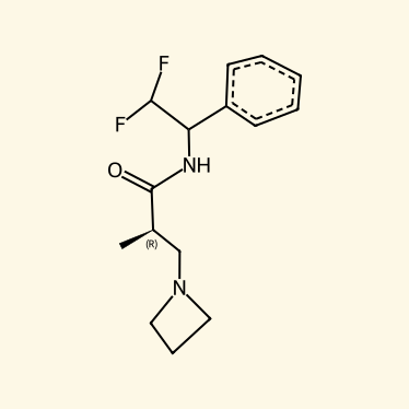 C[C@H](CN1CCC1)C(=O)NC(c1ccccc1)C(F)F